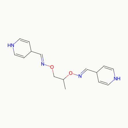 CC(CON=CC1C=CNC=C1)ON=CC1C=CNC=C1